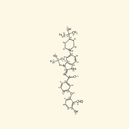 CC(C)(O)Cn1/c(=N/C(=O)c2ccnc(Oc3cccc(O)c3C=O)c2)[nH]c2ccc(N3CCC(C(C)(C)O)CC3)cc21